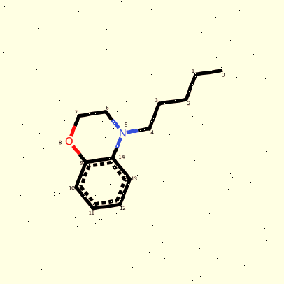 CCCCCN1CCOc2ccccc21